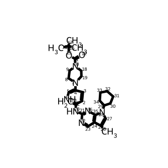 C=C(/C=C\C(=C/N)N1CCN(C(=O)OC(C)(C)C)CC1)Nc1ncc2c(C)cn(C3CCCCC3)c2n1